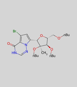 CCCCOC[C@H]1O[C@@H](c2cc(Br)c3c(=O)[nH]cnn23)[C@](C)(OCCCC)[C@@H]1OCCCC